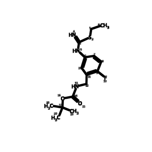 CCSC(=N)Nc1ccc(F)c(CNC(=O)OC(C)(C)C)c1